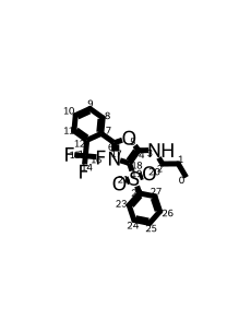 CCCNc1oc(-c2ccccc2C(F)(F)F)nc1S(=O)(=O)c1ccccc1